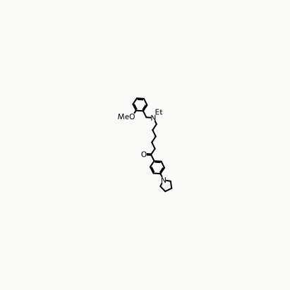 CCN(CCCCCC(=O)c1ccc(N2CCCC2)cc1)Cc1ccccc1OC